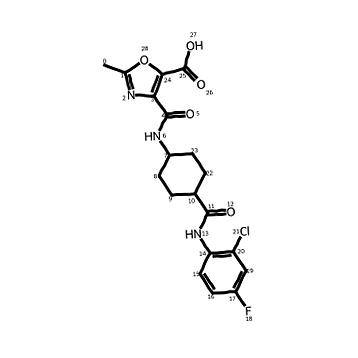 Cc1nc(C(=O)NC2CCC(C(=O)Nc3ccc(F)cc3Cl)CC2)c(C(=O)O)o1